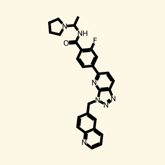 CC(NC(=O)c1ccc(-c2ccc3nnn(Cc4ccc5ncccc5c4)c3n2)cc1F)N1CCCC1